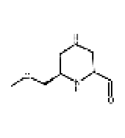 COC[C@H]1CNCC(C=O)N1